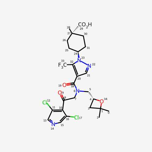 CC1(C)C[C@H](CN(CC(=O)c2c(Cl)cncc2Cl)C(=O)c2cnn([C@H]3CC[C@](C)(C(=O)O)CC3)c2C(F)(F)F)O1